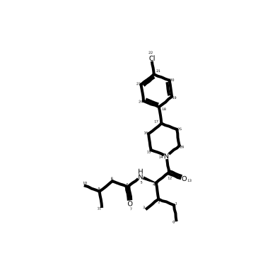 CCC(C)[C@@H](NC(=O)CC(C)C)C(=O)N1CCC(c2ccc(Cl)cc2)CC1